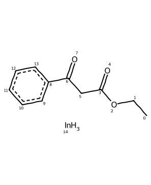 CCOC(=O)CC(=O)c1ccccc1.[InH3]